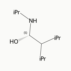 CC(C)N[C@@H](O)C(C(C)C)C(C)C